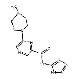 CC1CCN(c2cncc(C(=O)Nc3nnn[nH]3)n2)CC1